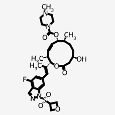 C/C(=C\c1cc(F)c2cnn(S(=O)(=O)C3COC3)c2c1)[C@H]1OC(=O)C[C@H](O)CC[C@H](C)[C@@H](OC(=O)N2CCN(C)CC2)/C=C\[C@@H]1C